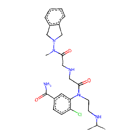 CC(C)NCCN(C(=O)CNCC(=O)N(C)N1Cc2ccccc2C1)c1cc(C(N)=O)ccc1Cl